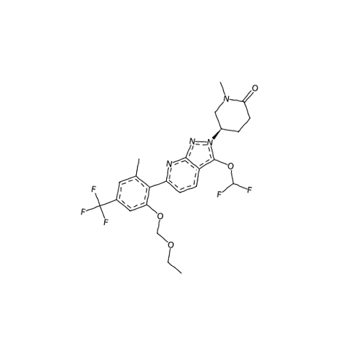 CCOCOc1cc(C(F)(F)F)cc(C)c1-c1ccc2c(OC(F)F)n([C@@H]3CCC(=O)N(C)C3)nc2n1